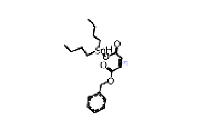 CCC[CH2][SnH]([CH2]CCC)[O]C(=O)/C=C\C(=O)OCc1ccccc1